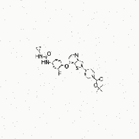 CC(C)(C)OC(=O)N1CC=C(c2cc3nccc(Oc4ccc(NC(=O)NC5CC5)cc4F)c3s2)CC1